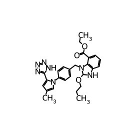 CCCOC1Nc2cccc(C(=O)OCC)c2N1Cc1ccc(-n2cc(C)cc2-c2nnn[nH]2)cc1